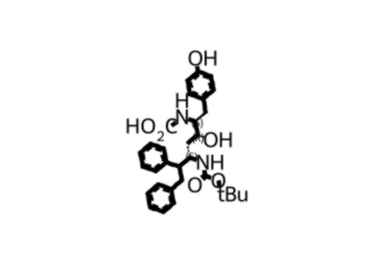 CC(C)(C)OC(=O)N[C@@H](C[C@@H](O)[C@H](Cc1ccc(O)cc1)NC(=O)O)C(Cc1ccccc1)c1ccccc1